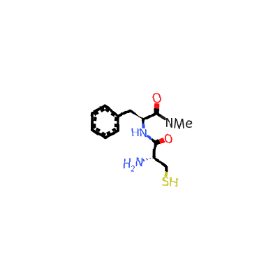 CNC(=O)[C@H](Cc1ccccc1)NC(=O)[C@@H](N)CS